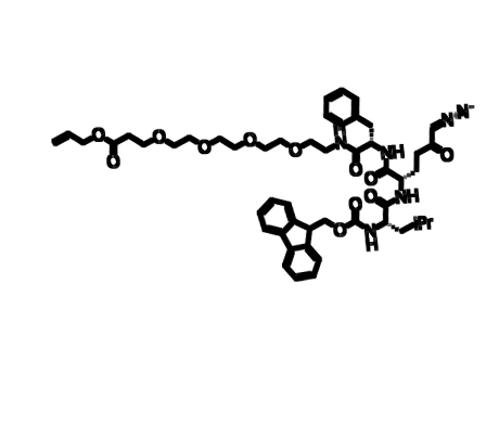 C=CCOC(=O)CCOCCOCCOCCOCCNC(=O)[C@H](Cc1ccccc1)NC(=O)[C@H](CCC(=O)C=[N+]=[N-])NC(=O)[C@H](CC(C)C)NC(=O)OCC1c2ccccc2-c2ccccc21